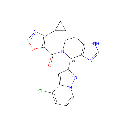 O=C(c1ocnc1C1CC1)N1CCc2[nH]cnc2[C@@H]1c1cc2c(Cl)cccn2n1